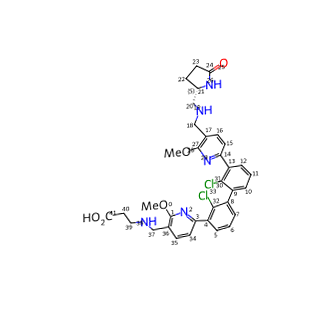 COc1nc(-c2cccc(-c3cccc(-c4ccc(CNC[C@@H]5CCC(=O)N5)c(OC)n4)c3Cl)c2Cl)ccc1CNCCC(=O)O